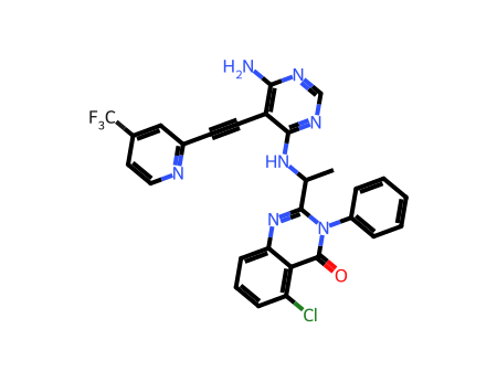 CC(Nc1ncnc(N)c1C#Cc1cc(C(F)(F)F)ccn1)c1nc2cccc(Cl)c2c(=O)n1-c1ccccc1